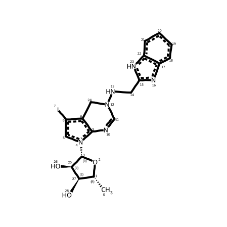 C[C@H]1O[C@@H](n2cc(I)c3c2N=CN(NCc2nc4ccccc4[nH]2)C3)[C@H](O)[C@@H]1O